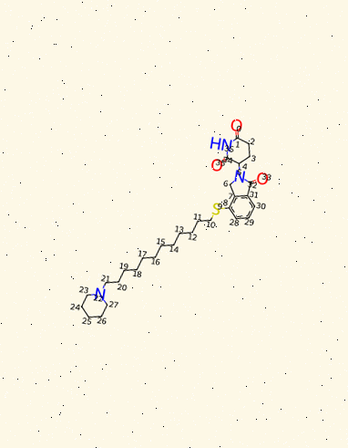 O=C1CCC(N2Cc3c(SCCCCCCCCCCCCN4CCCCC4)cccc3C2=O)C(=O)N1